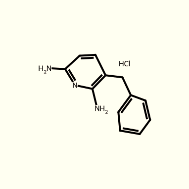 Cl.Nc1ccc(Cc2ccccc2)c(N)n1